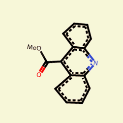 COC(=O)c1c2ccccc2nc2ccccc12